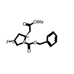 COC(=O)C[C@@H]1C[C@H](F)CN1C(=O)OCc1ccccc1